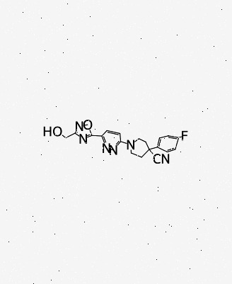 N#CC1(c2ccc(F)cc2)CCN(c2ccc(-c3nc(CO)no3)nn2)CC1